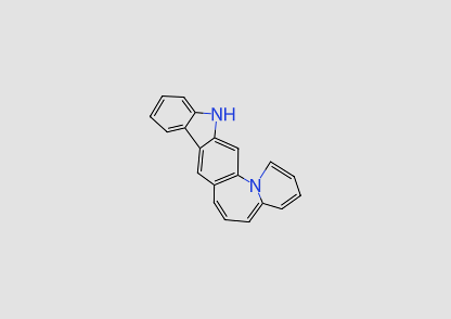 C1=CC2=CC=Cc3cc4c(cc3N2C=C1)[nH]c1ccccc14